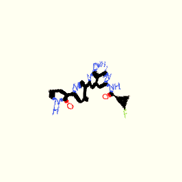 Cc1cc(-c2ccc[nH]c2=O)ncc1-c1cc2cc(NC(=O)[C@H]3C[C@H]3F)ncc2c(N)n1